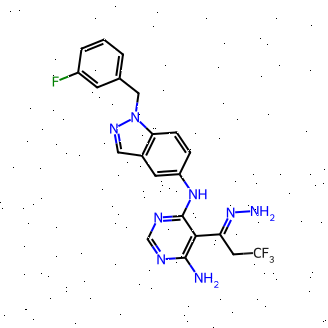 NN=C(CC(F)(F)F)c1c(N)ncnc1Nc1ccc2c(cnn2Cc2cccc(F)c2)c1